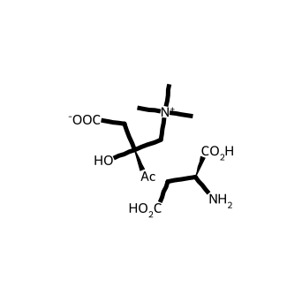 CC(=O)[C@@](O)(CC(=O)[O-])C[N+](C)(C)C.N[C@@H](CC(=O)O)C(=O)O